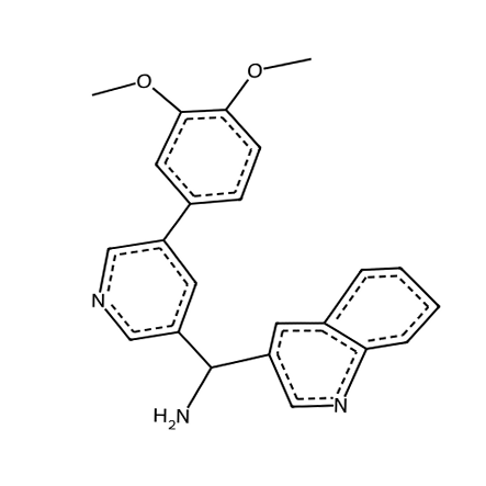 COc1ccc(-c2cncc(C(N)c3cnc4ccccc4c3)c2)cc1OC